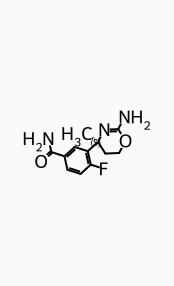 C[C@@]1(c2cc(C(N)=O)ccc2F)CCOC(N)=N1